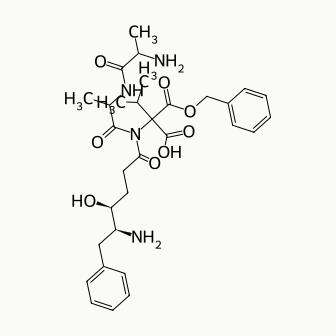 CC(N)C(=O)NC(C)C(=O)N(C(=O)CC[C@H](O)[C@@H](N)Cc1ccccc1)C(C(=O)O)(C(=O)OCc1ccccc1)C(C)C